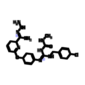 CNC(=O)N/C(=N\C1=CCC(OC2=NC(/C(N)=N/NN)CC=C2)C=C1)NCC1=CCC(Cl)C=C1